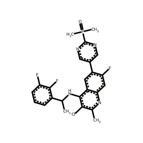 Cc1nc2cc(F)c(-c3cnc(P(C)(C)=O)nc3)cc2c(NC(C)c2cccc(F)c2F)c1Cl